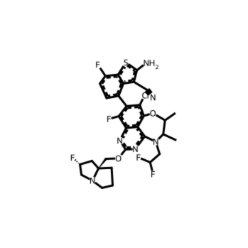 CC1Oc2c(Cl)c(-c3ccc(F)c4sc(N)c(C#N)c34)c(F)c3nc(OC[C@@]45CCCN4C[C@H](F)C5)nc(c23)N(CC(F)F)C1C